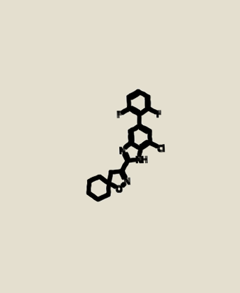 Fc1cccc(F)c1-c1cc(Cl)c2[nH]c(C3=NOC4(CCCCC4)C3)nc2c1